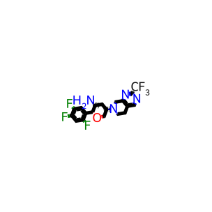 N[C@H]1C[C@@H](N2CCc3cnc(C(F)(F)F)nc3C2)COC1c1cc(F)c(F)cc1F